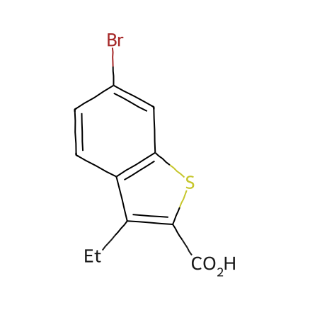 CCc1c(C(=O)O)sc2cc(Br)ccc12